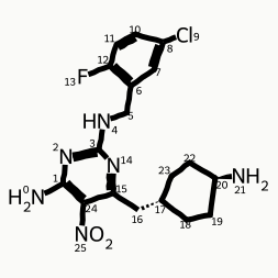 Nc1nc(NCc2cc(Cl)ccc2F)nc(C[C@H]2CC[C@H](N)CC2)c1[N+](=O)[O-]